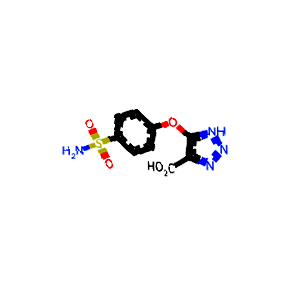 NS(=O)(=O)c1ccc(Oc2[nH]nnc2C(=O)O)cc1